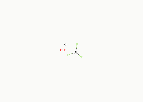 [F][Al]([F])[F].[K+].[OH-]